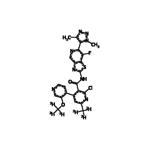 [2H]C([2H])([2H])Oc1cnccc1-c1cc(C([2H])([2H])[2H])nc(Cl)c1C(=O)Nc1nc2cnc(-c3c(C)nnn3C)c(F)c2s1